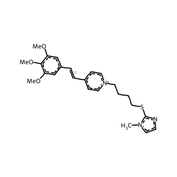 COc1cc(/C=C/c2cc[n+](CCCCSc3nccn3C)cc2)cc(OC)c1OC